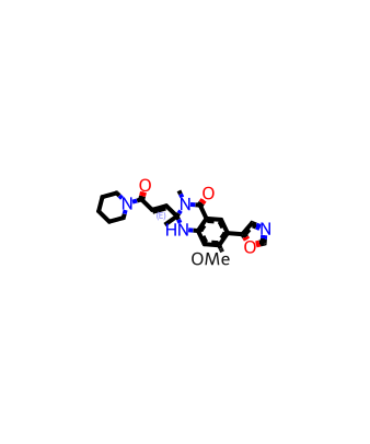 COc1cc2c(cc1-c1cnco1)C(=O)N(C)C(C)(/C=C/C(=O)N1CCCCC1)N2